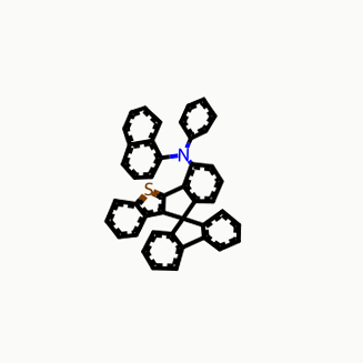 c1ccc(N(c2cccc3c2-c2sc4ccccc4c2C32c3ccccc3-c3ccccc32)c2cccc3ccccc23)cc1